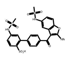 CCCCc1oc2ccc(NS(C)(=O)=O)cc2c1C(=O)c1ccc(-c2cc(NS(C)(=O)=O)ccc2S(=O)(=O)O)cc1